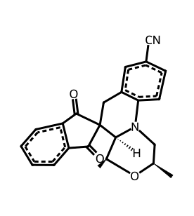 C[C@@H]1CN2c3ccc(C#N)cc3CC3(C(=O)c4ccccc4C3=O)[C@@H]2[C@H](C)O1